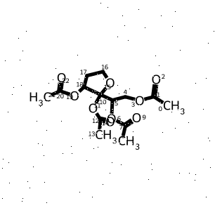 CC(=O)OCC(OC(C)=O)C1(OC(C)=O)OCCC1OC(C)=O